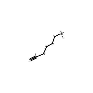 [C]#CCCCCBr